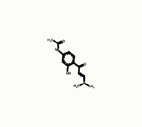 CC(=O)Nc1ccc(C(=O)/C=C/N(C)C)c(O)c1